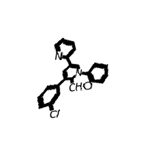 O=CC1C(c2cccc(Cl)c2)=CC(c2ccccn2)=CN1c1ccccc1